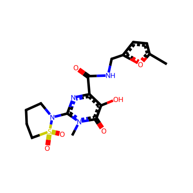 Cc1ccc(CNC(=O)c2nc(N3CCCCS3(=O)=O)n(C)c(=O)c2O)o1